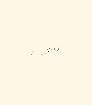 O=C1/C(=C/c2ccc(-c3ccc(F)cc3)o2)SC(=S)N1CCS(=O)(=O)I